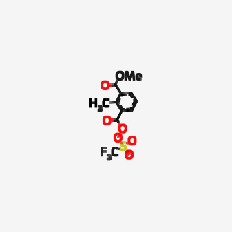 COC(=O)c1cccc(C(=O)OOS(=O)(=O)C(F)(F)F)c1C